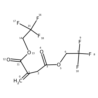 C=C(CC(=O)OCC(F)(F)F)C(=O)OCC(F)(F)F